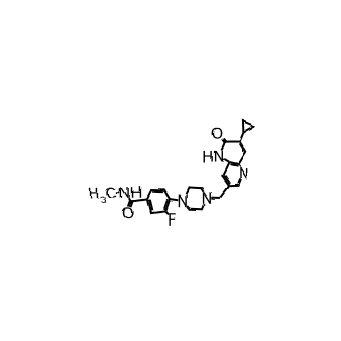 CNC(=O)c1ccc(N2CCN(Cc3cnc4cc(C5CC5)c(=O)[nH]c4c3)CC2)c(F)c1